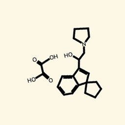 O=C(O)C(=O)O.OC(CN1CCCC1)C1=CC2(CCCC2)c2ccccc21